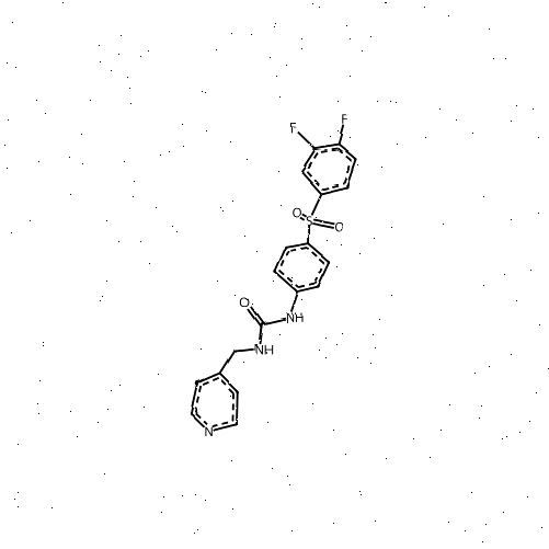 O=C(NCc1ccncc1)Nc1ccc(S(=O)(=O)c2ccc(F)c(F)c2)cc1